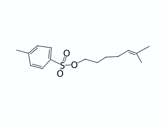 CC(C)=CCCCCOS(=O)(=O)c1ccc(C)cc1